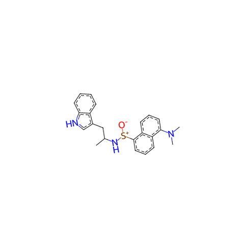 CC(Cc1c[nH]c2ccccc12)N[S+]([O-])c1cccc2c(N(C)C)cccc12